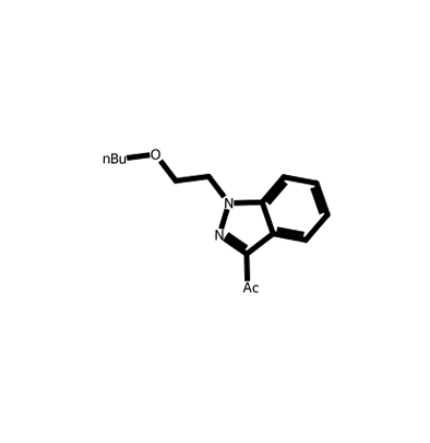 CCCCOCCn1nc(C(C)=O)c2ccccc21